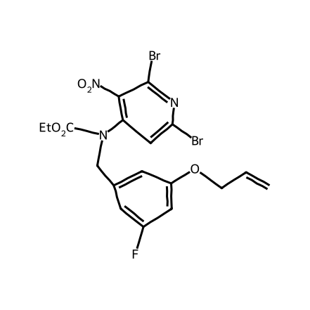 C=CCOc1cc(F)cc(CN(C(=O)OCC)c2cc(Br)nc(Br)c2[N+](=O)[O-])c1